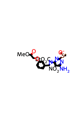 CCOC(=O)N(Cc1cccc(OCC(=O)OC)c1)c1nc([S+](C)[O-])nc(N)c1[N+](=O)[O-]